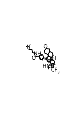 CN(C)CCCNC(=O)c1ccc([C@H]2C[C@@]3(C)[C@@H](CC[C@@]3(O)C(F)(F)C(F)(F)F)[C@@H]3CCC4=CC(=O)CCC4=C32)cc1